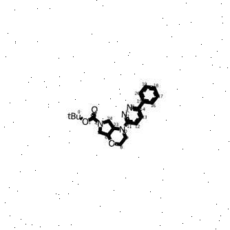 CC(C)(C)OC(=O)N1CC2OCCN(c3ccc(-c4ccccc4)nn3)C2C1